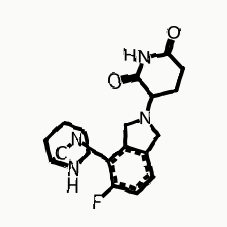 O=C1CCC(N2Cc3ccc(F)c(N4CC5CCC4CN5)c3C2)C(=O)N1